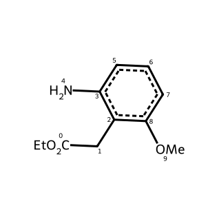 CCOC(=O)Cc1c(N)cccc1OC